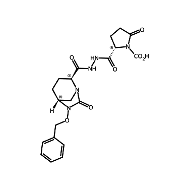 O=C(NNC(=O)[C@@H]1CCC(=O)N1C(=O)O)[C@@H]1CC[C@@H]2CN1C(=O)N2OCc1ccccc1